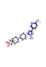 CCn1nc(-c2ccc(C(F)(F)F)nc2)nc1[C@H]1CC[C@@H](N2CCC3(CC2)CS(=O)(=O)C3)CC1